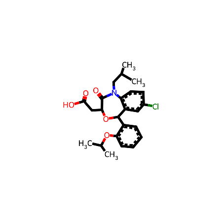 CC(C)CN1C(=O)C(CC(=O)O)OC(c2ccccc2OC(C)C)c2cc(Cl)ccc21